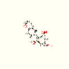 COc1c[c]c(-c2c(O)cc(O)cc2O)cc1